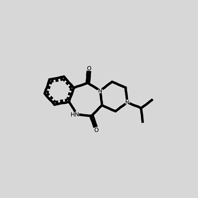 CC(C)N1CCN2C(=O)c3ccccc3NC(=O)C2C1